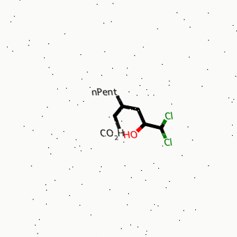 CCCCCC(CC(=O)O)CC(O)C(Cl)Cl